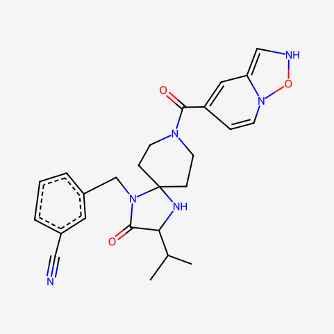 CC(C)C1NC2(CCN(C(=O)C3=CC4=CNON4C=C3)CC2)N(Cc2cccc(C#N)c2)C1=O